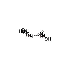 Cc1nn2c(N3CCN(CCO)CC3)cc(-c3ccccc3)nc2c1-c1cccc(CCCCCCCN2CCN(C(=O)COc3cccc(N4CCC(=O)NC4=O)c3)CC2)c1